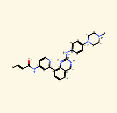 CC=CC(=O)Nc1ccnc(-c2cccc3cnc(Nc4ccc(N5CCN(C)CC5)cc4)nc23)c1